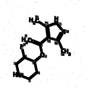 C=C(OC1CCNCC1F)c1c(C)n[nH]c1C